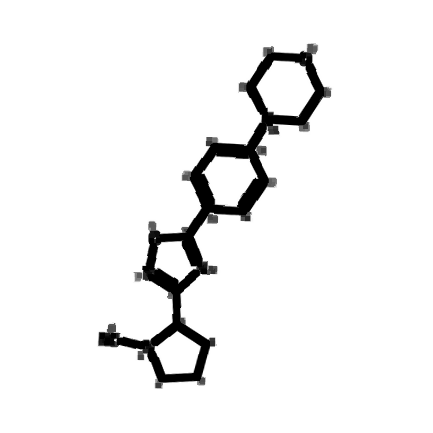 N#CN1CCCC1c1noc(-c2ccc(N3CCOCC3)cc2)n1